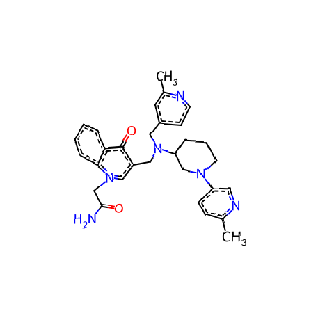 Cc1ccc(N2CCCC(N(Cc3ccnc(C)c3)Cc3cn(CC(N)=O)c4ccccc4c3=O)C2)cn1